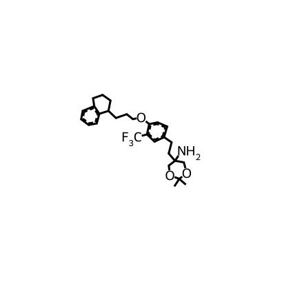 CC1(C)OCC(N)(CCc2ccc(OCCCC3CCCc4ccccc43)c(C(F)(F)F)c2)CO1